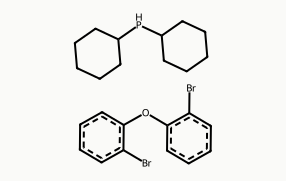 Brc1ccccc1Oc1ccccc1Br.C1CCC(PC2CCCCC2)CC1